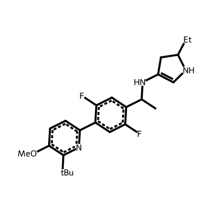 CCC1CC(NC(C)c2cc(F)c(-c3ccc(OC)c(C(C)(C)C)n3)cc2F)=CN1